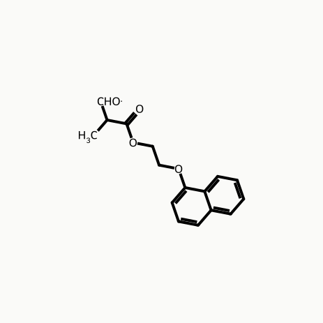 CC([C]=O)C(=O)OCCOc1cccc2ccccc12